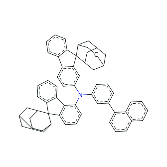 c1cc(-c2cccc3ccccc23)cc(N(c2ccc3c(c2)C2(c4ccccc4-3)C3CCC4CC(C3)CC2C4)c2cccc3c2-c2ccccc2C32C3CCC4CC(C3)CC2C4)c1